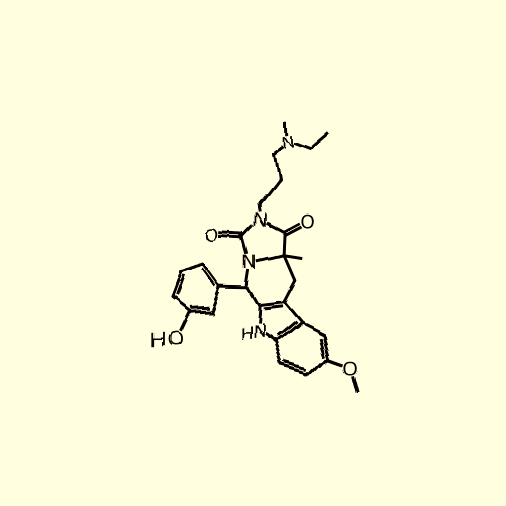 CCN(C)CCCN1C(=O)N2C(c3cccc(O)c3)c3[nH]c4ccc(OC)cc4c3CC2(C)C1=O